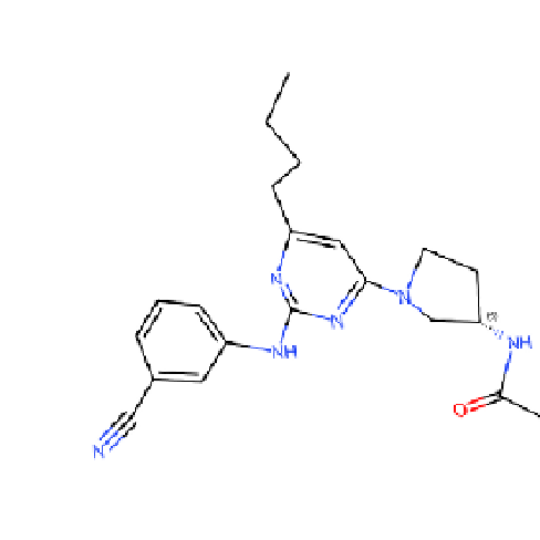 CCCCc1cc(N2CC[C@H](NC(C)=O)C2)nc(Nc2cccc(C#N)c2)n1